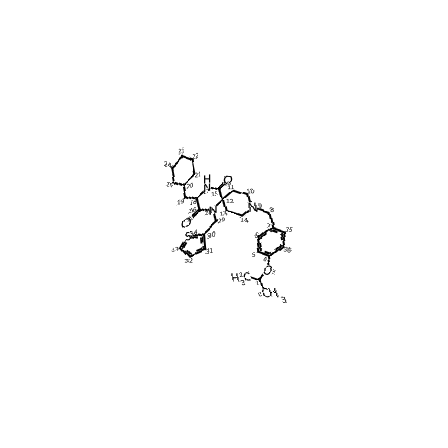 CC(C)Oc1ccc(CN2CCC3(CC2)C(=O)NC(CC2CCCCC2)C(=O)N3Cc2cccs2)cc1